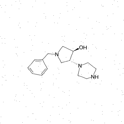 O[C@@H]1CN(Cc2ccccc2)C[C@H]1N1CCNCC1